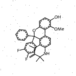 C=C1C(C)c2c(ccc3c2C(c2ccccc2)(c2ccc(F)c(F)c2)Oc2ccc(O)c(OC)c2-3)NC1(C)C